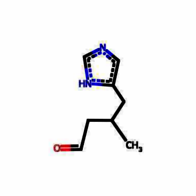 CC(CC=O)Cc1cnc[nH]1